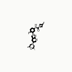 C[C@H]1CN(c2cnc3nn(-c4cc(NC(=O)N5CC(F)C5)ccc4F)cc3c2)C[C@H](C)O1